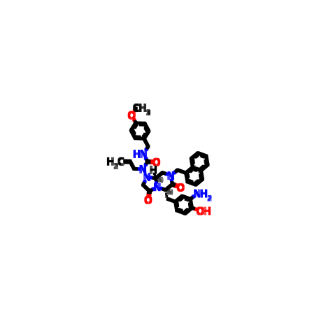 C=CCN(C(=O)NCc1ccc(OC)cc1)N1CC(=O)N2[C@@H](Cc3ccc(O)c(N)c3)C(=O)N(Cc3cccc4ccccc34)C[C@@H]21